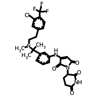 CN(CCc1ccc(C(F)(F)F)c(Cl)c1)C(C)(C)c1cccc(NC2=CC(=O)N(C3CCC(=O)NC3=O)C2=O)c1